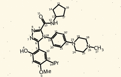 COc1cc(O)c(-c2nnc(C(=O)NC3CCCC3)n2-c2ccc(N3CCN(C)CC3)cc2)cc1C(C)C